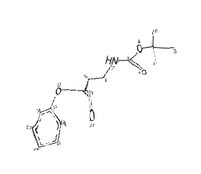 CC(C)(C)OC(=O)NCCC(=O)Oc1c[c]ccc1